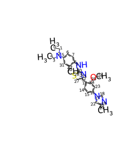 CCN(CC)c1ccc(Nc2nc(-c3ccc(-n4cnc(C)c4)cc3OC)cs2)c(C)c1